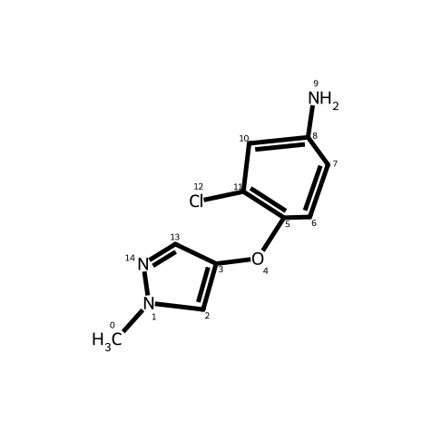 Cn1cc(Oc2ccc(N)cc2Cl)cn1